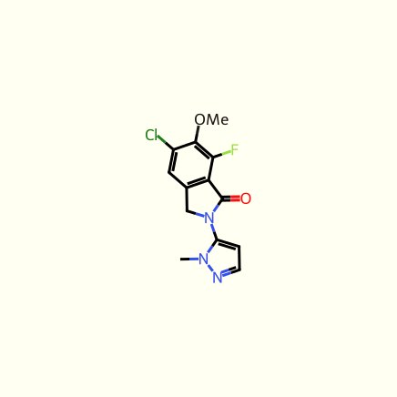 COc1c(Cl)cc2c(c1F)C(=O)N(c1ccnn1C)C2